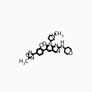 Cc1nc(-c2ccc(-c3cc4cnc(NC5CCOCC5)nc4n(C4CCN(C)C4)c3=O)c(Cl)c2)no1